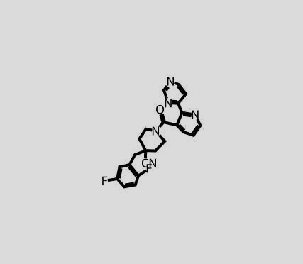 N#CC1(Cc2cc(F)ccc2F)CCN(C(=O)c2cccnc2-c2ccncn2)CC1